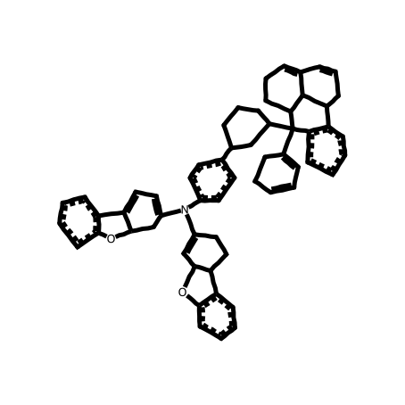 C1=CCCC(C2(C3CCCC(c4ccc(N(C5=CC6Oc7ccccc7C6CC5)C5=CC=C6c7ccccc7OC6C5)cc4)C3)c3ccccc3C3CC=CC4=CCCC2C43)=C1